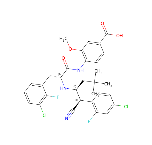 COc1cc(C(=O)O)ccc1NC(=O)[C@@H](Cc1cccc(Cl)c1F)N[C@@H](CC(C)(C)C)[C@H](C#N)c1ccc(Cl)cc1F